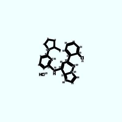 CC1CCCN1c1cccc(Nc2cc(-c3ccccc3Cl)nn3ccnc23)n1.Cl